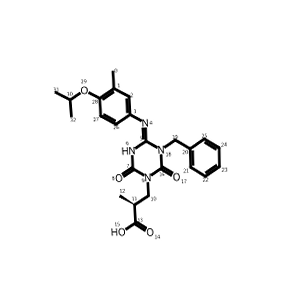 Cc1cc(/N=c2\[nH]c(=O)n(C[C@H](C)C(=O)O)c(=O)n2Cc2ccccc2)ccc1OC(C)C